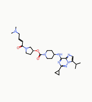 CC(C)c1cnc2c(NC3CCN(C(=O)O[C@H]4CCN(C(=O)/C=C/CN(C)C)C4)CC3)nc(C3CC3)nn12